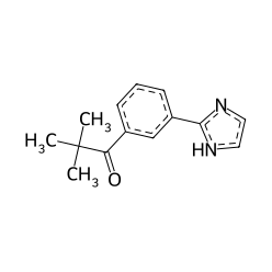 CC(C)(C)C(=O)c1cccc(-c2ncc[nH]2)c1